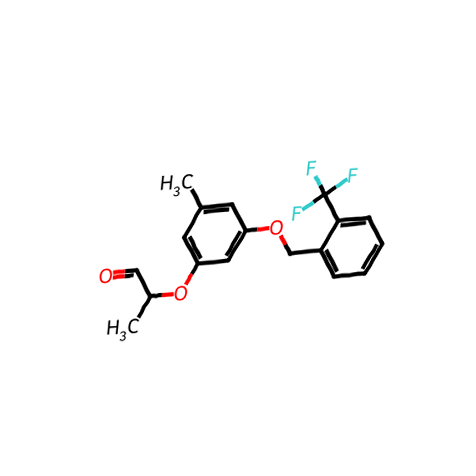 Cc1cc(OCc2ccccc2C(F)(F)F)cc(OC(C)C=O)c1